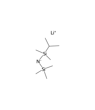 CC(C)[Si](C)(C)[N-][Si](C)(C)C.[Li+]